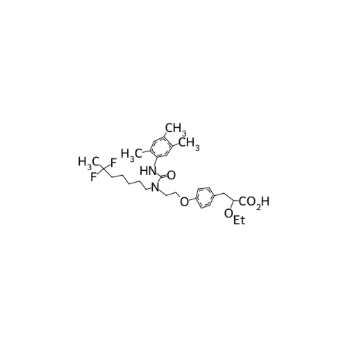 CCOC(Cc1ccc(OCCN(CCCCCC(C)(F)F)C(=O)Nc2cc(C)c(C)cc2C)cc1)C(=O)O